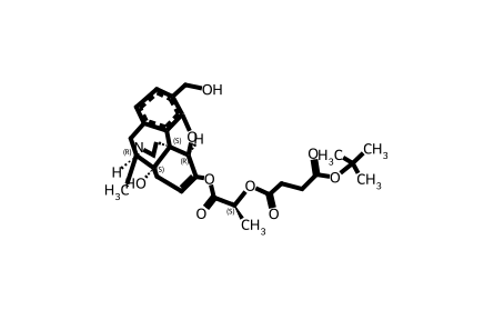 C[C@H](OC(=O)CCC(=O)OC(C)(C)C)C(=O)OC1=CC[C@@]2(O)[C@H]3Cc4ccc(CO)c5c4[C@@]2(CCN3C)[C@H]1O5